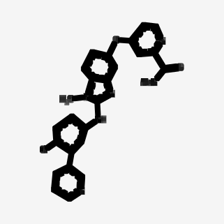 CNC(=O)c1cc(Oc2ccc3c(c2)nc(Nc2ccc(Cl)c(-c4cccnc4)c2)n3C)ccn1